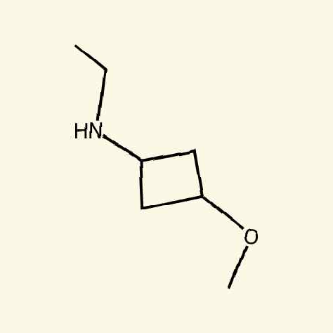 CCNC1CC(OC)C1